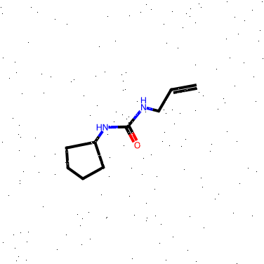 C=CCNC(=O)NC1CCCC1